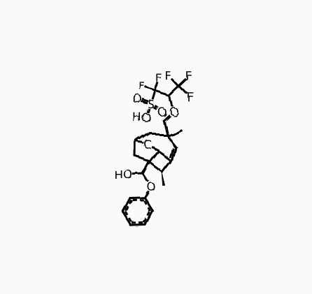 C[C@@H]1C2=CC(C)(COC(C(F)(F)F)C(F)(F)S(=O)(=O)O)CC3CC2C1(C(O)Oc1ccccc1)C3